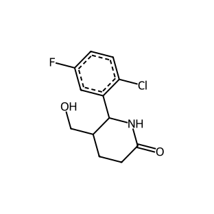 O=C1CCC(CO)C(c2cc(F)ccc2Cl)N1